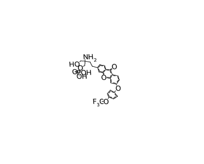 NC(CO)(CCc1ccc2c(=O)c3ccc(Oc4ccc(OC(F)(F)F)cc4)cc3oc2c1)COP(=O)(O)O